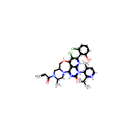 C=CC(=O)N1CC2COc3c(Cl)c(-c4c(O)cccc4Cl)nc4c3c(nc(=O)n4-c3c(C)ccnc3C(C)C)N2CC1C